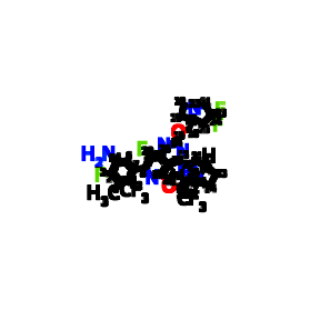 Cc1c(F)c(N)cc(-c2nc3c4c(nc(OC[C@@]56CCN5CC(F)(F)C6)nc4c2F)N2C[C@H]4CC[C@H](N4)[C@H]2C(C(F)(F)F)O3)c1C(F)(F)F